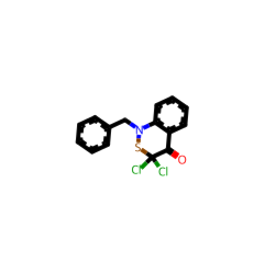 O=C1c2ccccc2N(Cc2ccccc2)SC1(Cl)Cl